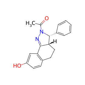 CC(=O)N1N=C2c3cc(O)ccc3CC[C@H]2[C@H]1c1ccccc1